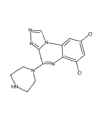 Clc1cc(Cl)c2nc(N3CCNCC3)c3nncn3c2c1